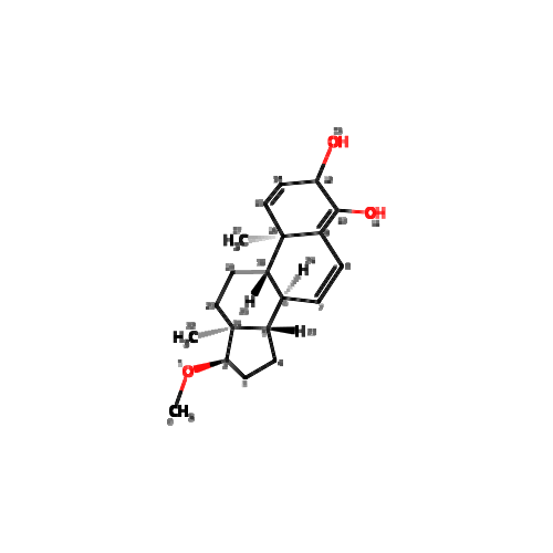 CO[C@@H]1CC[C@H]2[C@@H]3C=CC4=C(O)C(O)C=C[C@]4(C)[C@H]3CC[C@]12C